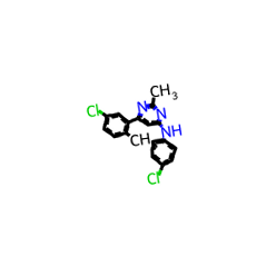 Cc1nc(Nc2ccc(Cl)cc2)cc(-c2cc(Cl)ccc2C)n1